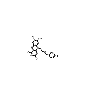 CCc1cc2c(cc1Cl)nc1c(=O)[nH]c(=O)nc-1n2CCOCc1ccc(F)cc1